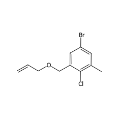 C=CCOCc1cc(Br)cc(C)c1Cl